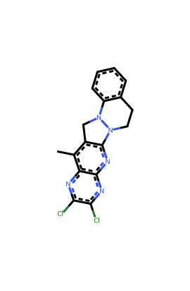 Cc1c2c(nc3nc(Cl)c(Cl)nc13)N1CCc3ccccc3N1C2